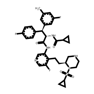 Cc1cc(F)cc([C@H](c2ccc(F)cc2)[C@H](NC(=O)C2CC2)C(=O)Nc2cncc(F)c2CC[C@H]2CNCCN2S(=O)(=O)C2CC2)c1